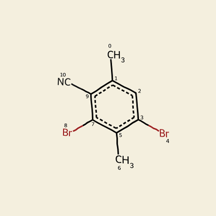 Cc1cc(Br)c(C)c(Br)c1C#N